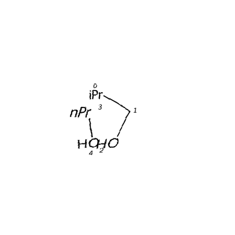 CC(C)CO.CCCO